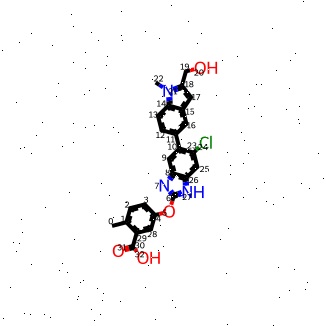 Cc1ccc(Oc2nc3cc(-c4ccc5c(c4)cc(CO)n5C)c(Cl)cc3[nH]2)cc1C(=O)O